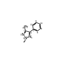 CC(C)c1nn(C)nc1-c1ccccc1